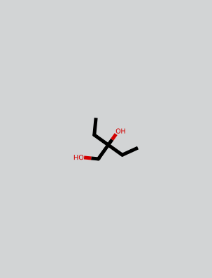 CCC(O)([CH]O)CC